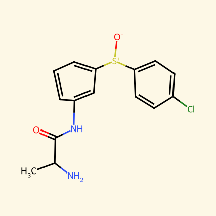 CC(N)C(=O)Nc1cccc([S+]([O-])c2ccc(Cl)cc2)c1